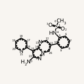 CS(=O)(=O)Nc1ccccc1-c1cnc2c(-c3ccccn3)c(N)nn2c1